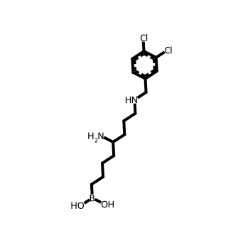 NC(CCCCB(O)O)CCCNCc1ccc(Cl)c(Cl)c1